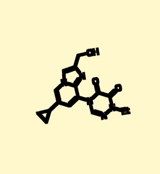 CCn1ncn(-c2cc(C3CC3)cn3cc(CO)nc23)c(=O)c1=O